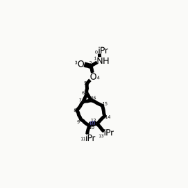 CC(C)NC(=O)OCC1C2CC/C(C(C)C)=C(/C(C)C)CCC21